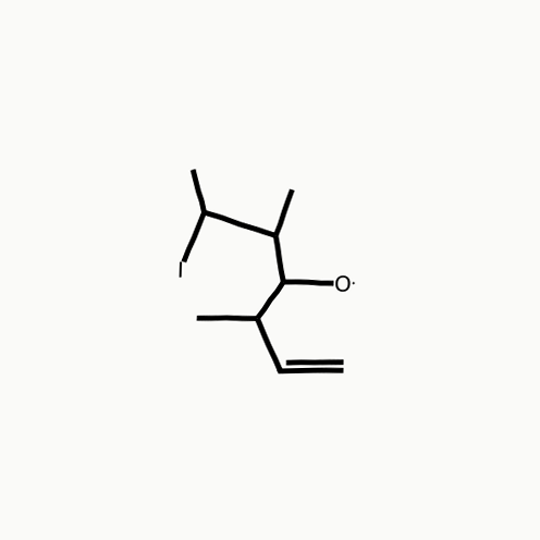 C=CC(C)C([O])C(C)C(C)I